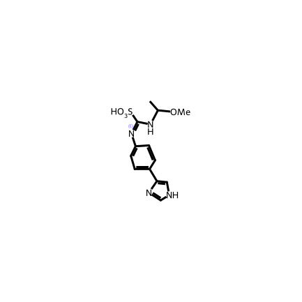 COC(C)N/C(=N\c1ccc(-c2c[nH]cn2)cc1)S(=O)(=O)O